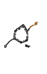 [Li][c]1ccc([S-])cc1.[Na+]